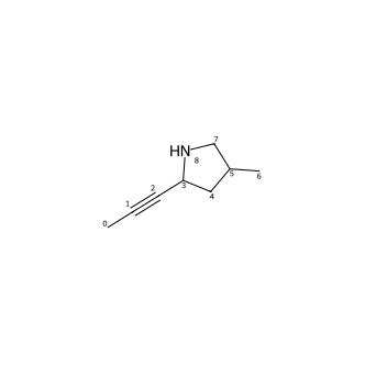 CC#CC1CC(C)CN1